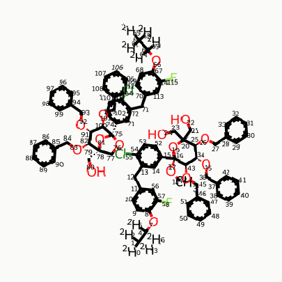 [2H]C([2H])([2H])C([2H])([2H])Oc1ccc(Cc2cc([C@]3(OC)OC(CO)(CO)[C@@H](OCc4ccccc4)[C@H](OCc4ccccc4)[C@H]3OCc3ccccc3)ccc2Cl)cc1F.[2H]C([2H])([2H])C([2H])([2H])Oc1ccc(Cc2cc([C@]34OC[C@](CO)(O3)[C@@H](OCc3ccccc3)[C@H](OCc3ccccc3)[C@H]4OCc3ccccc3)ccc2Cl)cc1F